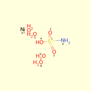 NS(=O)(=O)O.O.O.O.O.[Ni]